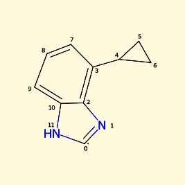 [c]1nc2c(C3CC3)cccc2[nH]1